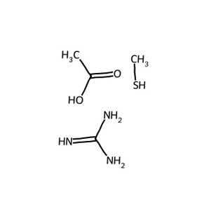 CC(=O)O.CS.N=C(N)N